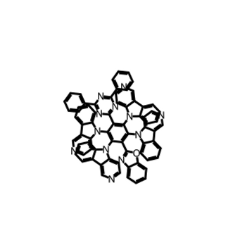 c1ccc(-c2nc(-c3ccccc3)nc(-c3c(-n4c5ccccc5c5cnccc54)c(-n4c5ccccc5c5cnccc54)c(-c4nc5ccccc5o4)c(-n4c5ccccc5c5cnccc54)c3-n3c4ccccc4c4cnccc43)n2)cc1